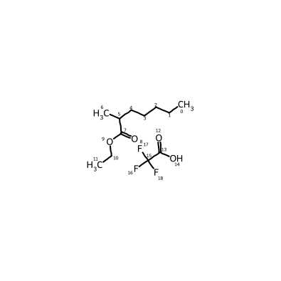 CCCCCC(C)C(=O)OCC.O=C(O)C(F)(F)F